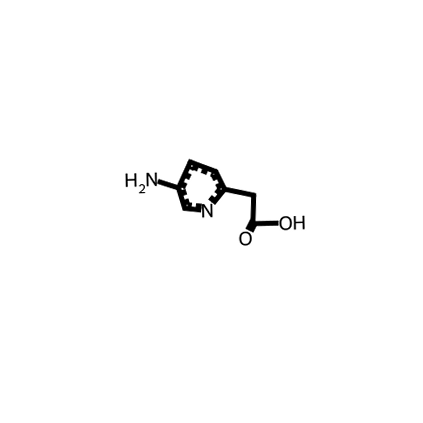 Nc1ccc(CC(=O)O)nc1